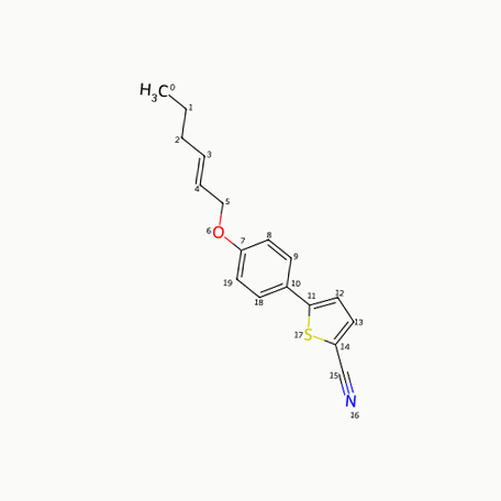 CCCC=CCOc1ccc(-c2ccc(C#N)s2)cc1